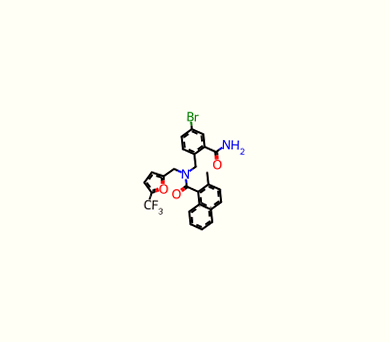 Cc1ccc2ccccc2c1C(=O)N(Cc1ccc(C(F)(F)F)o1)Cc1ccc(Br)cc1C(N)=O